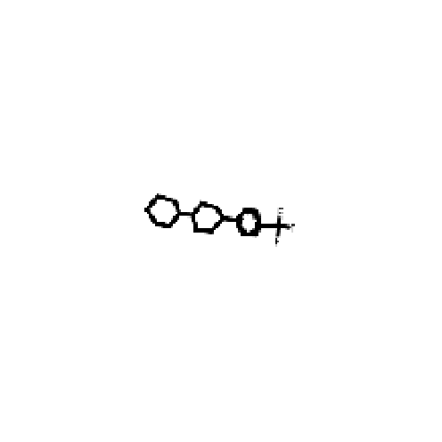 FC(F)(F)c1ccc(C2CCC(C3CCCCC3)CC2)cc1